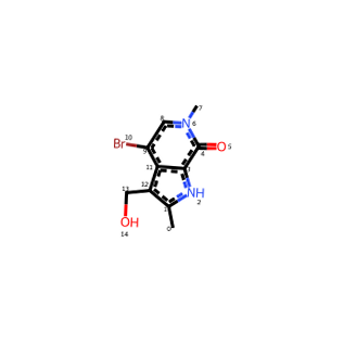 Cc1[nH]c2c(=O)n(C)cc(Br)c2c1CO